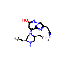 CC[C@@H]1CN(c2cc(O)nn3cc(CC#N)nc23)[C@@H](CC)CN1